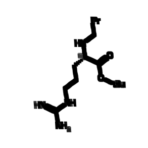 CC(C)CN[C@@H](CCCNC(=N)N)C(=O)OC(C)(C)C